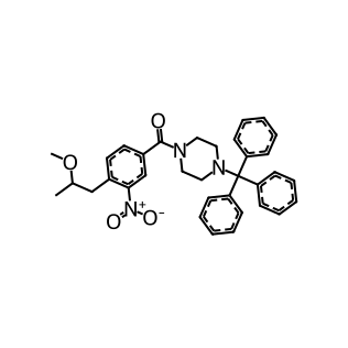 COC(C)Cc1ccc(C(=O)N2CCN(C(c3ccccc3)(c3ccccc3)c3ccccc3)CC2)cc1[N+](=O)[O-]